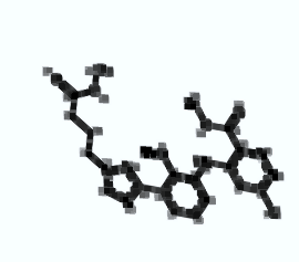 COc1c(Nc2cc(Cl)nnc2C(=O)[O][Zn])cccc1-c1ncn(CCCC(=O)OC(C)(C)C)n1